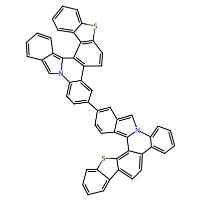 c1ccc2c(c1)cn1c3ccc(-c4ccc5c(c4)cn4c6ccccc6c6ccc7c8ccccc8sc7c6c54)cc3c3ccc4sc5ccccc5c4c3c21